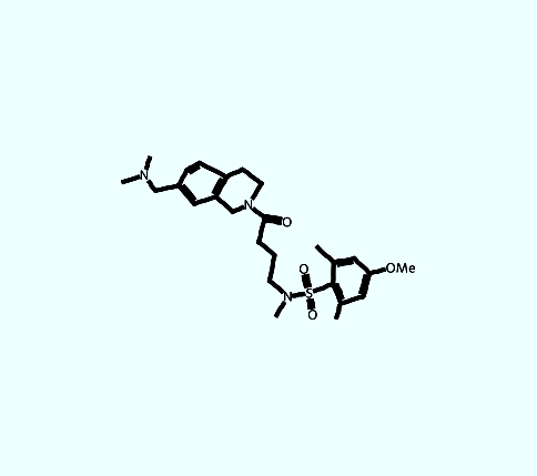 COc1cc(C)c(S(=O)(=O)N(C)CCCC(=O)N2CCc3ccc(CN(C)C)cc3C2)c(C)c1